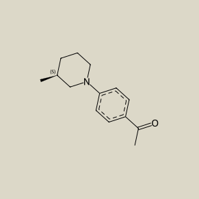 CC(=O)c1ccc(N2CCC[C@H](C)C2)cc1